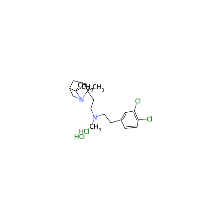 CN(CCc1ccc(Cl)c(Cl)c1)CCC1(C)CCC2CN1C2(C)C.Cl.Cl